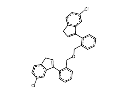 Clc1ccc2c(c1)C(c1ccccc1COCc1ccccc1C1=CCc3ccc(Cl)cc31)=CC2